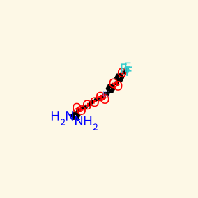 Nc1cc(N)cc(C(=O)OCCOCCOCCOC(=O)/C=C/c2ccc(OC(=O)c3ccc(OCC(F)(F)F)cc3)cc2)c1